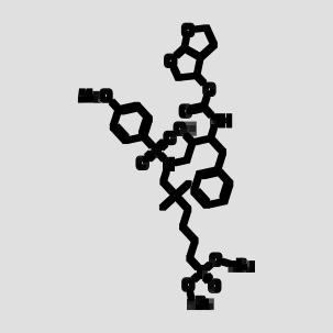 CCCCOP(=O)(CCCCC(C)(C)CN(CC(O)C(Cc1ccccc1)NC(=O)OC1COC2OCCC12)S(=O)(=O)c1ccc(OC)cc1)OCCCC